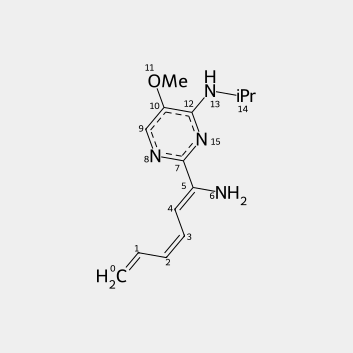 C=C/C=C\C=C(/N)c1ncc(OC)c(NC(C)C)n1